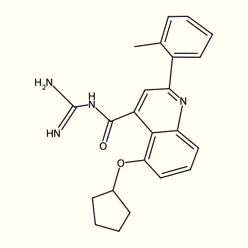 Cc1ccccc1-c1cc(C(=O)NC(=N)N)c2c(OC3CCCC3)cccc2n1